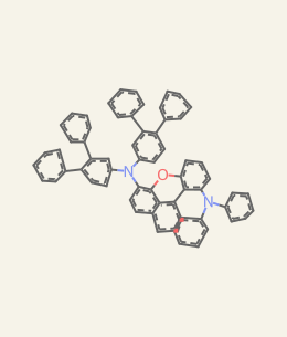 c1ccc(-c2ccc(N(c3ccc(-c4ccccc4)c(-c4ccccc4)c3)c3ccc4cccc5c4c3Oc3cccc(N(c4ccccc4)c4ccccc4)c3-5)cc2-c2ccccc2)cc1